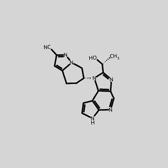 C[C@@H](O)c1nc2cnc3[nH]ccc3c2n1[C@@H]1CCc2cc(C#N)nn2C1